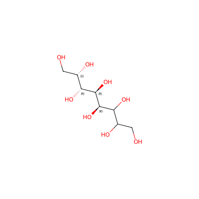 OCC(O)C(O)[C@@H](O)[C@H](O)[C@H](O)[C@@H](O)CO